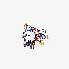 COc1cc2cc(c1Cl)N(C)C(=O)C[C@H](OC(=O)[C@@H](C)N(C)C(=O)CCS)[C@]1(C)CC(C)(O1)[C@@H]1C[C@@](O)(NC(=O)O1)[C@H](OC)/C=C/C=C(\C)C2